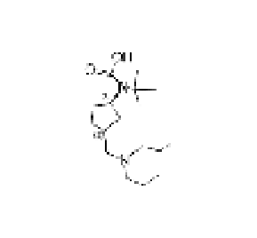 CC1CCCN(C[C@H]2CC[C@@H](N(C(=O)O)C(C)(C)C)C2)C1